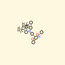 CC1(C)c2ccccc2-c2ccc(N(c3ccc(-c4c5oc(-c6ccccc6)nc5cc5c4oc4ccccc45)cc3)c3cccc4c3-c3ccccc3C4(C)C)cc21